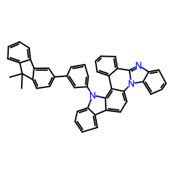 CC1(C)c2ccccc2-c2cc(-c3cccc(-n4c5ccccc5c5ccc6c(c7ccccc7c7nc8ccccc8n67)c54)c3)ccc21